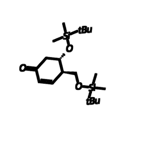 CC(C)(C)[Si](C)(C)OC[C@H]1C=CC(=O)C[C@@H]1O[Si](C)(C)C(C)(C)C